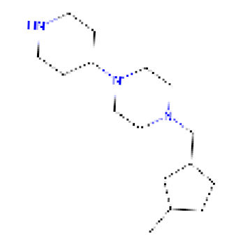 CC1CCC(CN2CCN(C3CCNCC3)CC2)C1